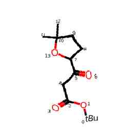 CC(C)(C)OC(=O)CC(=O)C1CCC(C)(C)O1